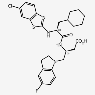 O=C(O)C[C@@H](CN1CCc2cc(F)ccc21)NC(=O)[C@H](CC1CCCCC1)Nc1nc2ccc(Cl)cc2s1